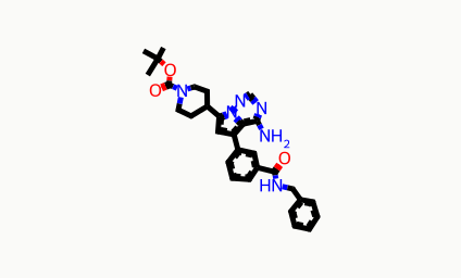 CC(C)(C)OC(=O)N1CCC(c2cc(-c3cccc(C(=O)NCc4ccccc4)c3)c3c(N)ncnn23)CC1